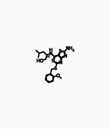 COc1ccccc1CSc1nc(N[C@@H](CO)CC(C)C)c2sc(N)nc2n1